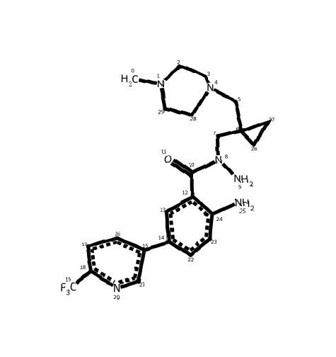 CN1CCN(CC2(CN(N)C(=O)c3cc(-c4ccc(C(F)(F)F)nc4)ccc3N)CC2)CC1